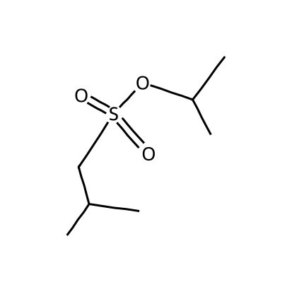 CC(C)CS(=O)(=O)OC(C)C